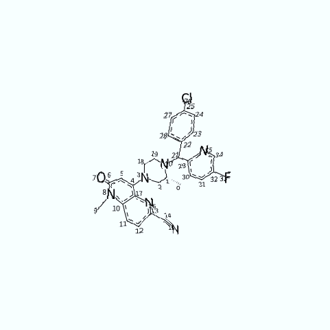 C[C@@H]1CN(c2cc(=O)n(C)c3ccc(C#N)nc23)CCN1C(c1ccc(Cl)cc1)c1ccc(F)cn1